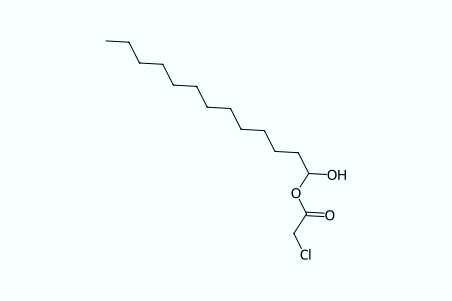 CCCCCCCCCCCCC(O)OC(=O)CCl